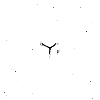 ClC(Cl)Cl.[Si]